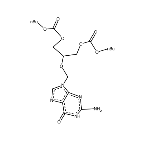 CCCCOC(=O)OCC(COC(=O)OCCCC)OCn1cnc2c(=O)[nH]c(N)nc21